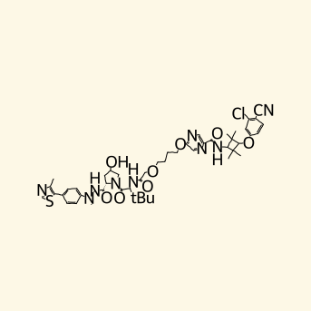 Cc1ncsc1-c1ccc(N(C)NC(=O)[C@@H]2C[C@@H](O)CN2C(=O)C(NC(=O)COCCCCOc2cnc(C(=O)NC3C(C)(C)C(Oc4ccc(C#N)c(Cl)c4)C3(C)C)cn2)C(C)(C)C)cc1